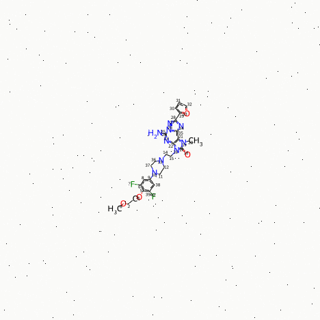 COCCOc1c(F)cc(N2CCN(CCn3c(=O)n(C)c4c3nc(N)n3nc(-c5ccco5)nc43)CC2)cc1F